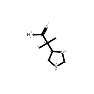 CC(C)(C(N)=S)C1CNCO1